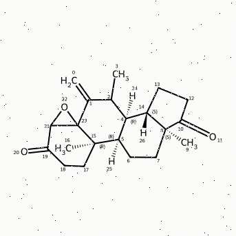 C=C1C(C)[C@@H]2[C@@H](CC[C@]3(C)C(=O)CC[C@@H]23)[C@@]2(C)CCC(=O)C3OC132